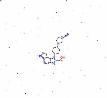 C[C@@H](O)c1nc2cnc3[nH]ccc3c2n1C1CCC(N2CC[C@@H](C#N)C2)CC1